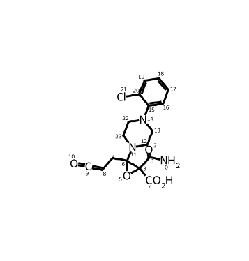 NC(=O)C1(C(=O)O)OC1(CC=C=O)N1CCN(c2ccccc2Cl)CC1